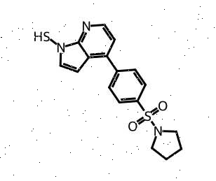 O=S(=O)(c1ccc(-c2ccnc3c2ccn3S)cc1)N1CCCC1